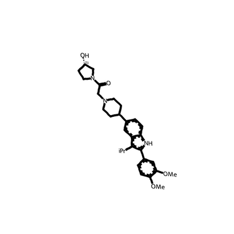 COc1ccc(-c2[nH]c3ccc(C4CCN(CC(=O)N5CC[C@H](O)C5)CC4)cc3c2C(C)C)cc1OC